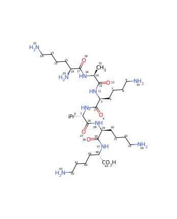 CC(C)[C@H](NC(=O)[C@H](CCCCN)NC(=O)[C@H](C)NC(=O)[C@@H](N)CCCCN)C(=O)N[C@@H](CCCCN)C(=O)N[C@@H](CCCCN)C(=O)O